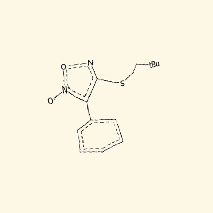 CC(C)(C)CSc1no[n+]([O-])c1-c1ccccc1